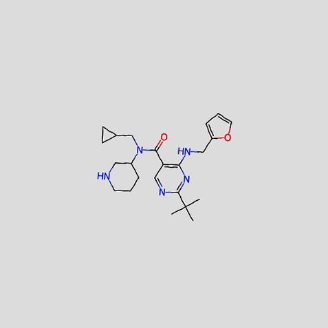 CC(C)(C)c1ncc(C(=O)N(CC2CC2)C2CCCNC2)c(NCc2ccco2)n1